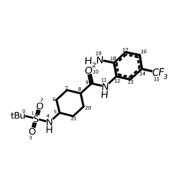 CC(C)(C)S(=O)(=O)NC1CCC(C(=O)Nc2cc(C(F)(F)F)ccc2N)CC1